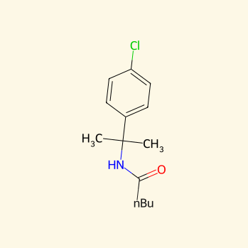 CCCCC(=O)NC(C)(C)c1ccc(Cl)cc1